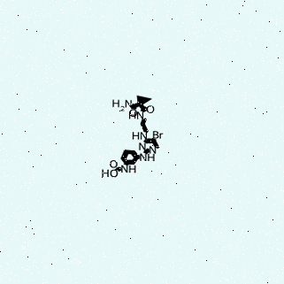 NC(=O)C1(C(=O)NCCCNc2nc(Nc3cccc(NC(=O)O)c3)ncc2Br)CC1